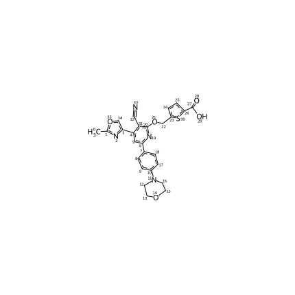 Cc1nc(-c2cc(-c3ccc(N4CCOCC4)cc3)nc(OCc3ccc(C(=O)O)s3)c2C#N)co1